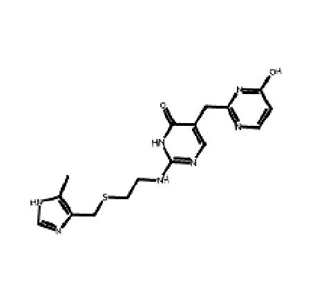 Cc1[nH]cnc1CSCCNc1ncc(Cc2nccc(O)n2)c(=O)[nH]1